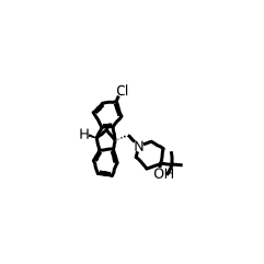 CC(C)(C)C1(O)CCN(C[C@@]23C[C@H](c4ccccc42)c2ccc(Cl)cc23)CC1